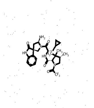 C[C@@H]1CN(C(=O)C(F)(F)F)[C@H](C(=O)N[C@@H](CC2CC2)C(=O)N2C[C@]3(C[C@H]2N)C(=O)Nc2ccccc23)C1(C)C